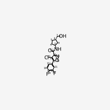 O=C(N[C@H]1CC[C@@H](CO)C1)c1noc(-c2ccc(F)c(F)c2)c1Cl